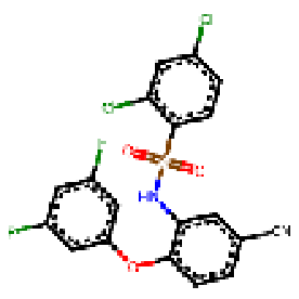 N#Cc1ccc(Oc2cc(F)cc(F)c2)c(NS(=O)(=O)c2ccc(Cl)cc2Cl)c1